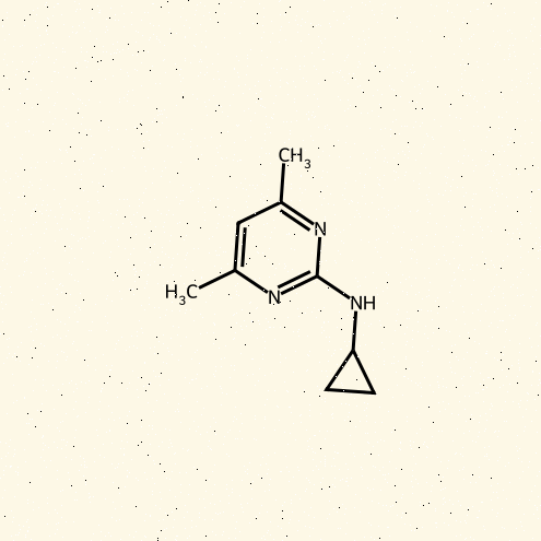 Cc1cc(C)nc(NC2CC2)n1